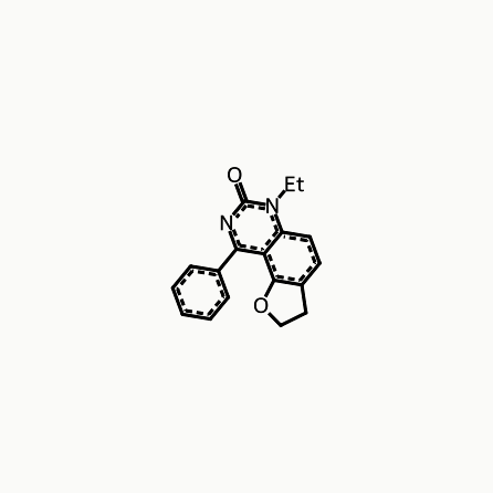 CCn1c(=O)nc(-c2ccccc2)c2c3c(ccc21)CCO3